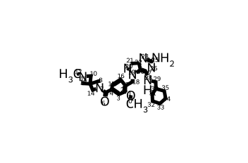 COc1cc(C(=O)N2CC3(CN(C)C3)C2)ccc1Cn1ncc2nc(N)nc(NCC3CCCCC3)c21